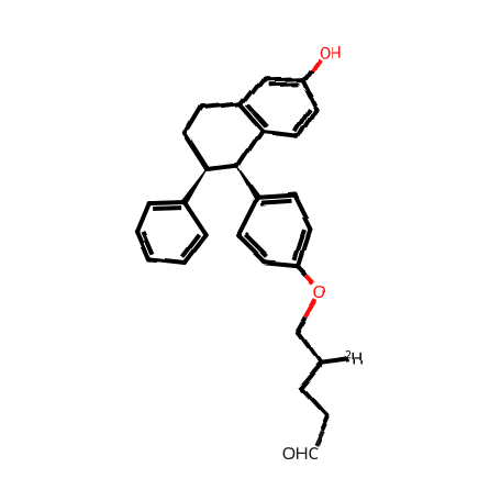 [2H]C(CCC=O)COc1ccc([C@@H]2c3ccc(O)cc3CC[C@@H]2c2ccccc2)cc1